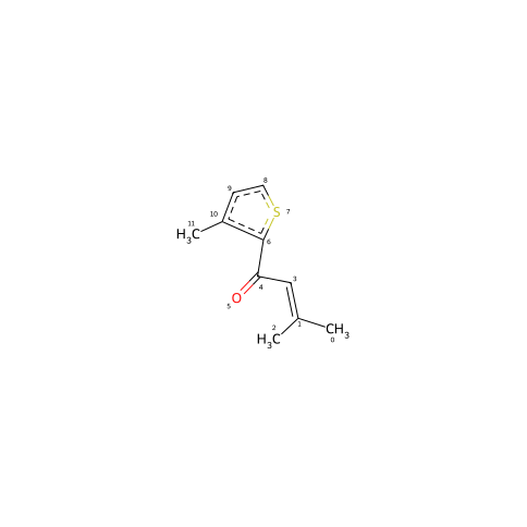 CC(C)=CC(=O)c1sccc1C